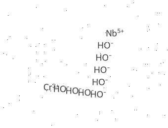 [Cr+3].[Nb+5].[OH-].[OH-].[OH-].[OH-].[OH-].[OH-].[OH-].[OH-]